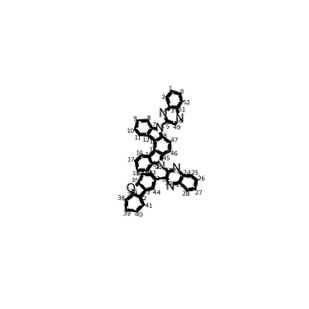 c1ccc2nc(-n3c4ccccc4c4c5c6ccccc6n(-c6nc7ccccc7nc6-c6ccc7oc8ccccc8c7c6)c5ccc43)cnc2c1